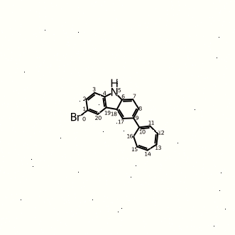 Brc1ccc2[nH]c3ccc(C4=CC=CC=CC4)cc3c2c1